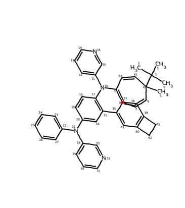 CC(C)(C)C1(C)C=CC=C(N(c2cccnc2)c2ccc(N(c3ccccc3)c3cccnc3)cc2-c2ccc3c(c2)CC3)C=C1